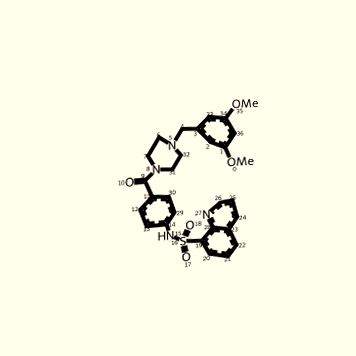 COc1cc(CN2CCN(C(=O)c3ccc(NS(=O)(=O)c4cccc5cccnc45)cc3)CC2)cc(OC)c1